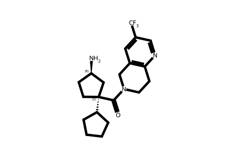 N[C@@H]1CC[C@@](C(=O)N2CCc3ncc(C(F)(F)F)cc3C2)(C2CCCC2)C1